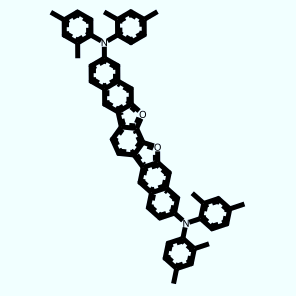 Cc1ccc(N(c2ccc3cc4c(cc3c2)oc2c4ccc3c4cc5ccc(N(c6ccc(C)cc6C)c6ccc(C)cc6C)cc5cc4oc32)c2ccc(C)cc2C)c(C)c1